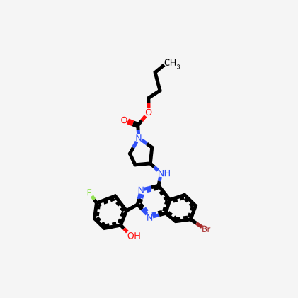 CCCCOC(=O)N1CCC(Nc2nc(-c3cc(F)ccc3O)nc3cc(Br)ccc23)C1